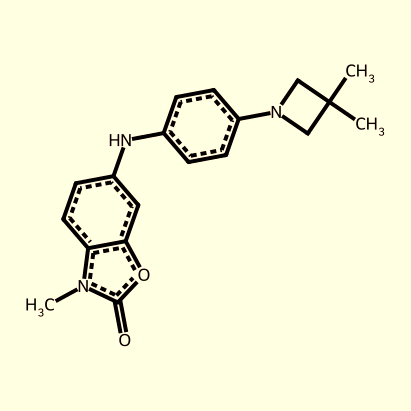 Cn1c(=O)oc2cc(Nc3ccc(N4CC(C)(C)C4)cc3)ccc21